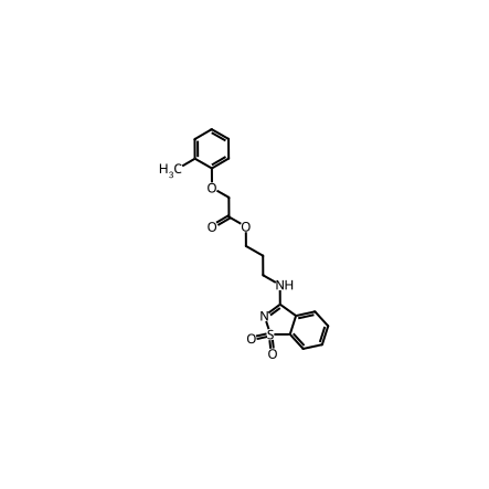 Cc1ccccc1OCC(=O)OCCCNC1=NS(=O)(=O)c2ccccc21